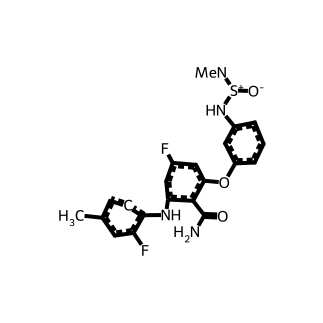 CN[S+]([O-])Nc1cccc(Oc2cc(F)cc(Nc3ccc(C)cc3F)c2C(N)=O)c1